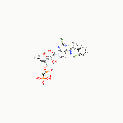 C/C=C(/COP(=O)(O)CP(=O)(O)O)[C@@H](O)[C@@H](O)[C@@H](O)n1ccc2c(N[C@@H](C)c3ccccc3F)nc(Cl)nc21